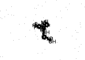 NCc1c(Cl)cccc1N(CC(=O)NCc1cccc(/C=C/C(=O)O)c1)S(=O)(=O)c1ccc(C(F)(F)F)cc1